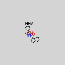 CC(=O)Nc1ccc(S(=O)(=O)NC(=O)c2cccc3ccccc23)cc1